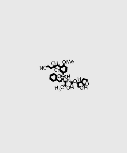 COc1ccc(S(=O)(=O)N(Cc2ccccc2)[C@H](NC(=O)O[C@H]2CO[C@H]3OCC[C@H]32)[C@@H](C)O)cc1CC(C)(C)CCC#N